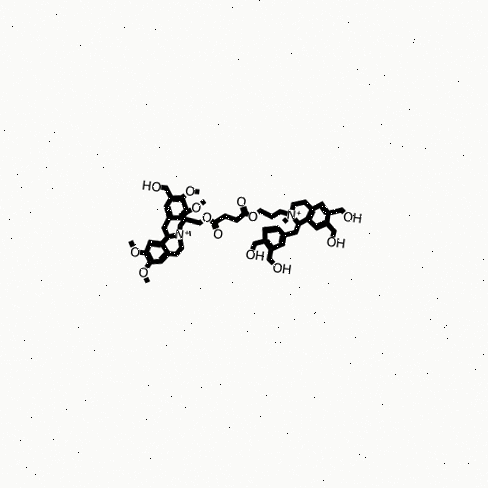 COc1cc2c(cc1OC)C(Cc1cc(CO)c(OC)c(OC)c1)[N+](C)(CCCOC(=O)CCC(=O)OCCC[N+]1(C)CCc3cc(CO)c(CO)cc3C1Cc1ccc(CO)c(CO)c1)CC2